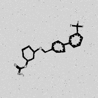 NC(=O)OC1CCCC(OCc2ccc(-c3cccc(C(F)(F)F)c3)cc2)C1